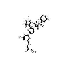 CC(CO)COc1cc(F)cc(-c2ccc(C(=O)NS(=O)(=O)c3ccccc3)c(N3C[C@@H](C)CC3(C)C)n2)c1